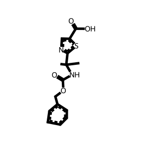 CC(C)(NC(=O)OCc1ccccc1)c1ncc(C(=O)O)s1